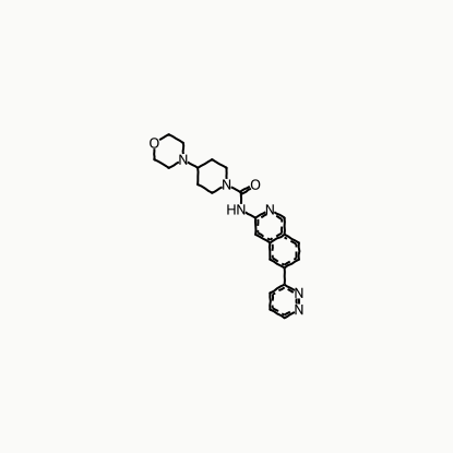 O=C(Nc1cc2cc(-c3cccnn3)ccc2cn1)N1CCC(N2CCOCC2)CC1